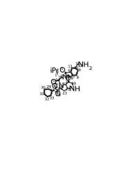 CC(C)C[C@H](NC(=O)c1cccc(CN)c1)C(=O)N1C2C(=O)CNC2CC1S(=O)(=O)c1ccccc1